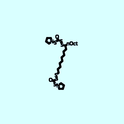 CCCCCCCCC(CCCCCCCCCSSC(=O)SN1CCCC1)SSC(=O)SN1CCCC1